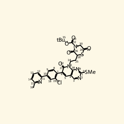 CSc1ncc2cc(-c3ccc(-c4cccc(C)n4)cc3Cl)c(=O)n(CCC3SC(=O)CN(C(=O)OC(C)(C)C)C3=O)c2n1